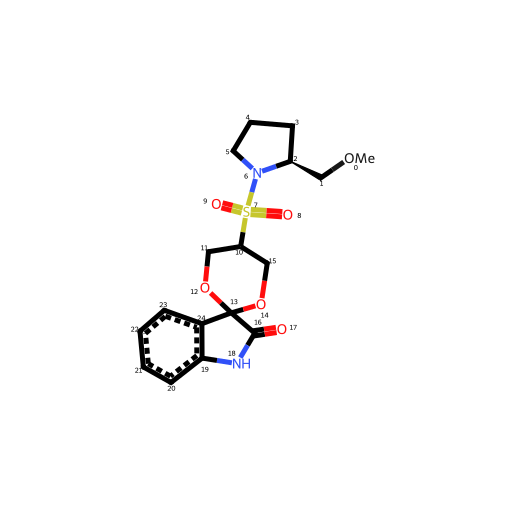 COC[C@@H]1CCCN1S(=O)(=O)C1COC2(OC1)C(=O)Nc1ccccc12